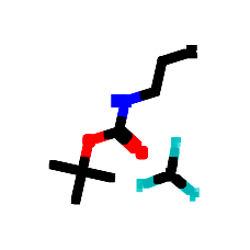 CC(C)(C)OC(=O)NC[CH2][K].FB(F)F